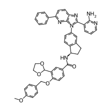 COc1ccc(COc2ccc(C(=O)N[C@@H]3CCc4cc(-n5c(-c6cccnc6N)nc6ccc(-c7ccccc7)nc65)ccc43)cc2C2OCCO2)cc1